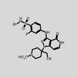 CC(C)NS(=O)(=O)c1ccc(Nc2nn(C3(CC#N)CCN(C(=O)O)CC3)c3cc[nH]c(=O)c23)cc1F